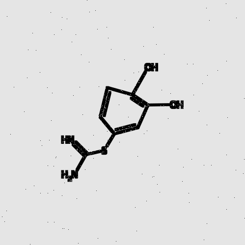 N=C(N)Sc1ccc(O)c(O)c1